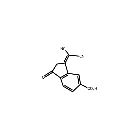 N#CC(C#N)=C1CC(=O)c2ccc(C(=O)O)cc21